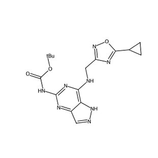 CC(C)(C)OC(=O)Nc1nc(NCc2noc(C3CC3)n2)c2[nH]ncc2n1